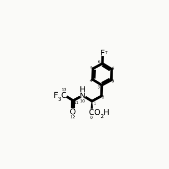 O=C(O)[C@H](Cc1ccc(F)cc1)NC(=O)C(F)(F)F